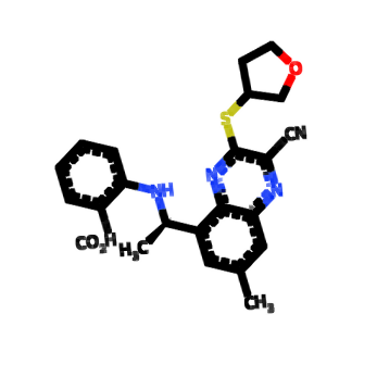 Cc1cc([C@@H](C)Nc2ccccc2C(=O)O)c2nc(SC3CCOC3)c(C#N)nc2c1